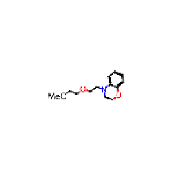 COCCOCCN1CCOc2ccccc21